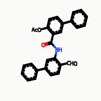 CC(=O)Oc1ccc(-c2ccccc2)cc1C(=O)Nc1cc(-c2ccccc2)ccc1C=O